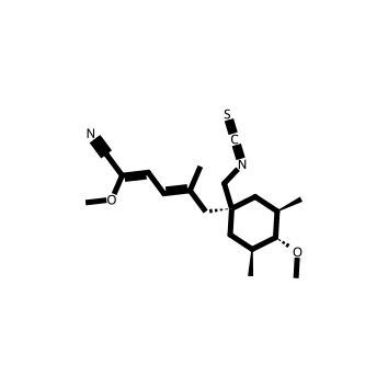 CO/C(C#N)=C\C=C(/C)C[C@]1(CN=C=S)C[C@@H](C)[C@H](OC)[C@@H](C)C1